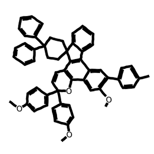 COc1ccc(C2(c3ccc(OC)cc3)C=Cc3c4c(c5cc(-c6ccc(C)cc6)c(OC)cc5c3O2)-c2ccccc2C42CCC(c3ccccc3)(c3ccccc3)CC2)cc1